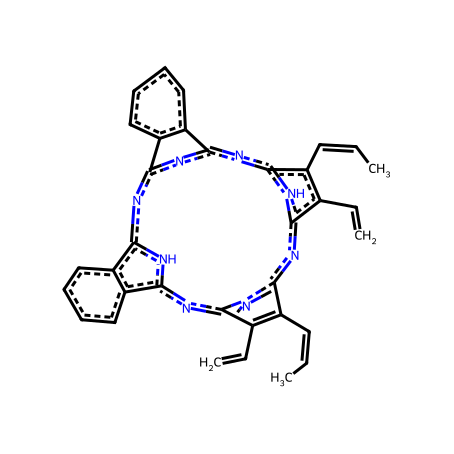 C=CC1=C(/C=C\C)c2nc1nc1[nH]c(nc3nc(nc4[nH]c(n2)c(C=C)c4/C=C\C)-c2ccccc2-3)c2ccccc12